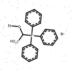 CCOC(C(=O)O)[P+](c1ccccc1)(c1ccccc1)c1ccccc1.[Br-]